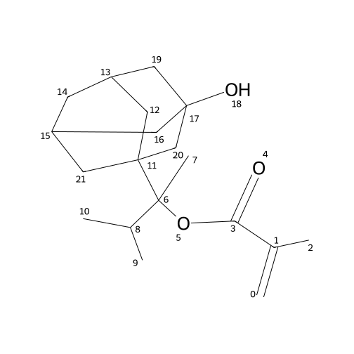 C=C(C)C(=O)OC(C)(C(C)C)C12CC3CC(CC(O)(C3)C1)C2